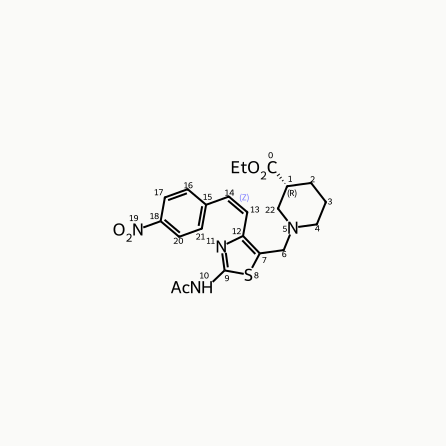 CCOC(=O)[C@@H]1CCCN(Cc2sc(NC(C)=O)nc2/C=C\c2ccc([N+](=O)[O-])cc2)C1